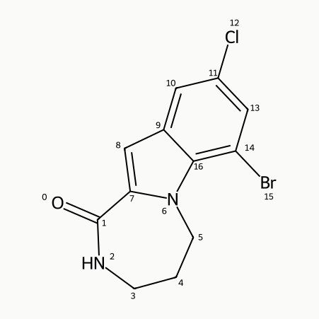 O=C1NCCCn2c1cc1cc(Cl)cc(Br)c12